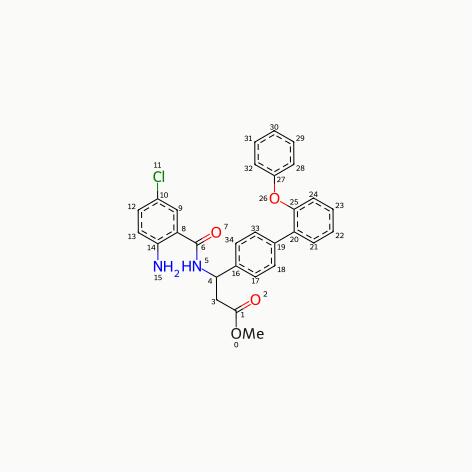 COC(=O)CC(NC(=O)c1cc(Cl)ccc1N)c1ccc(-c2ccccc2Oc2ccccc2)cc1